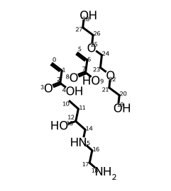 C=CC(=O)O.C=CC(=O)O.CCC(O)CNCCN.OCCOCCOCCO